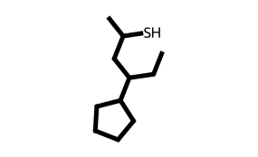 CCC(CC(C)S)C1CCCC1